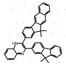 CC1(C)c2ccccc2-c2ccc(C3=C(c4ccc5c(c4)C(C)(C)c4cc6ccccc6cc4-5)NC4C=CC=CC4=N3)cc21